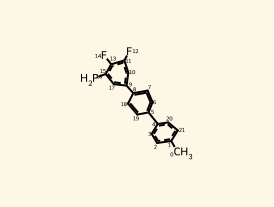 Cc1ccc(C2=C=C=C(c3cc(F)c(F)c(P)c3)C=C2)cc1